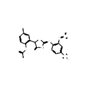 CC(=O)Nc1ccc(C)cc1C1SC(=Nc2ccc(S(N)(=O)=O)cc2N=S(=O)=O)NC1=O